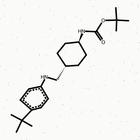 CC(C)(C)OC(=O)N[C@H]1CC[C@H](CNc2ccc(C(C)(C)C)cc2)CC1